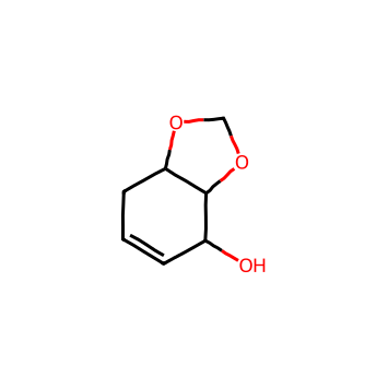 OC1C=CCC2OCOC12